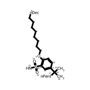 CCCCCCCCCCCCCCCCCCOc1ccc(C(C)(C)CCCCC)cc1S([NH])(=O)=O